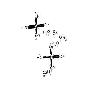 O.O.O.O.O=P(O)(O)O.O=S(=O)(O)O.[CaH2]